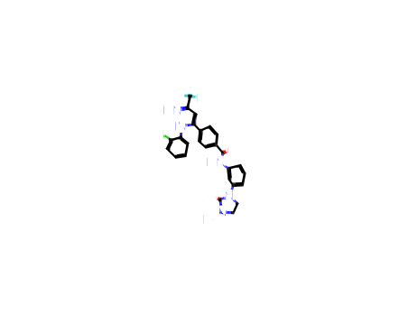 CN1CCN(c2cccc(NC(=O)c3ccc(/C(=C/C(=N)C(F)(F)F)Nc4ccccc4Cl)cc3)c2)C1=O